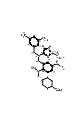 CCN(C[C@H]1CC[C@H](C(=O)O)CC1)c1ccc(OC(F)(F)F)cc1CN(Cc1cc(C)cc(C(F)(F)F)c1)c1nnn(C)n1.Cl